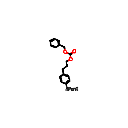 CCCCCc1ccc(CCCOC(=O)OCc2ccccc2)cc1